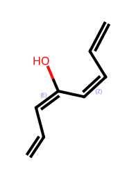 C=C/C=C\C(O)=C/C=C